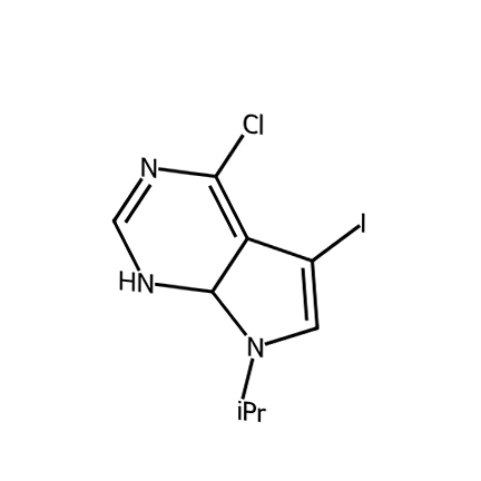 CC(C)N1C=C(I)C2=C(Cl)N=CNC21